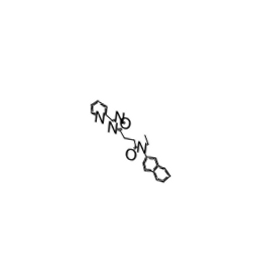 CCN(C(=O)CCc1nc(-c2ccccn2)no1)c1ccc2ccccc2c1